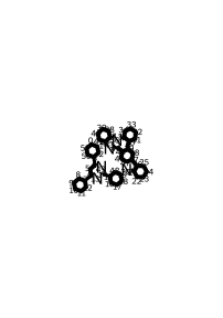 c1ccc(-c2cc(-c3ccccc3)nc(-c3cccc(-n4c5ccccc5c5cc6c7ccccc7n7c8ccccc8nc7c6cc54)c3)n2)cc1